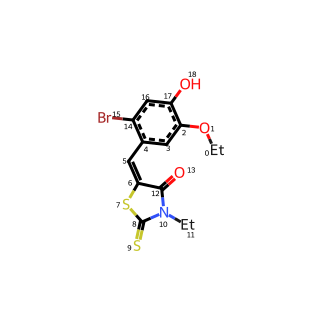 CCOc1cc(C=C2SC(=S)N(CC)C2=O)c(Br)cc1O